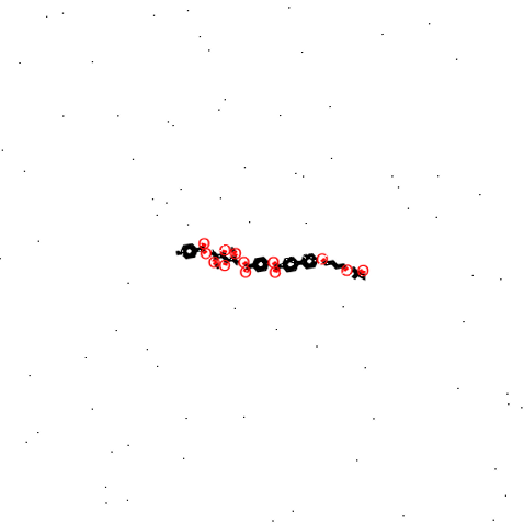 Cc1ccc(C(=O)OCC2OCOC3C(COC(=O)c4ccc(OC(=O)c5ccc(-c6ccc(OCCCCOCC7(C)CO7)cc6)cc5)cc4)OCOC23)cc1